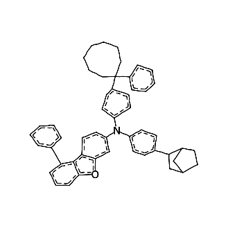 c1ccc(-c2cccc3oc4cc(N(c5ccc(C6CC7CCC6C7)cc5)c5ccc(C6(c7ccccc7)CCCCCCC6)cc5)ccc4c23)cc1